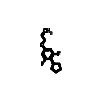 C=CCOc1cc(F)c([C]2CCCC2)c(F)c1